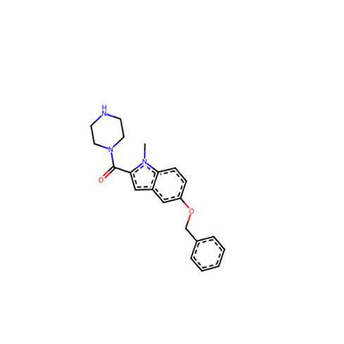 Cn1c(C(=O)N2CCNCC2)cc2cc(OCc3ccccc3)ccc21